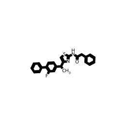 CC(c1ccc(-c2ccccc2)c(F)c1)c1csc(NC(=O)Cc2ccccc2)n1